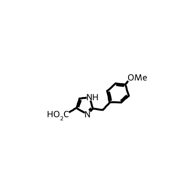 COc1ccc(Cc2nc(C(=O)O)c[nH]2)cc1